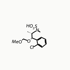 COCO[C@@H](c1ccccc1Cl)[C@H](C)N(C)S(=O)(=O)O